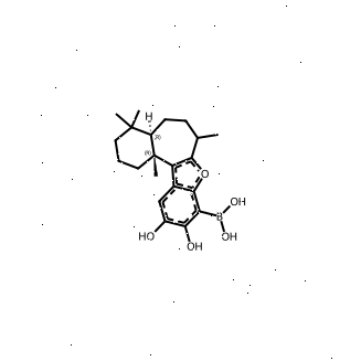 CC1CC[C@@H]2C(C)(C)CCC[C@@]2(C)c2c1oc1c(B(O)O)c(O)c(O)cc21